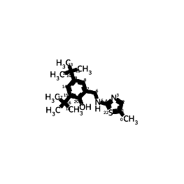 Cc1cnc(NCc2cc(C(C)(C)C)cc(C(C)(C)C)c2O)s1